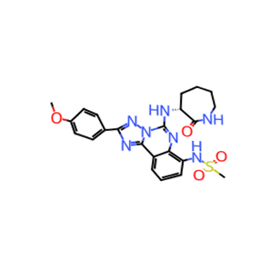 COc1ccc(-c2nc3c4cccc(NS(C)(=O)=O)c4nc(N[C@@H]4CCCCNC4=O)n3n2)cc1